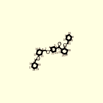 O=C(c1ccc(OCc2cccc(OCc3ccccc3)c2)cc1)c1cc[c]cc1OCc1ccccc1